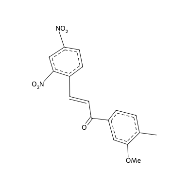 COc1cc(C(=O)/C=C/c2ccc([N+](=O)[O-])cc2[N+](=O)[O-])ccc1C